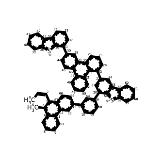 C/C=C\c1c(C)c2ccccc2c2cc(-c3cccc(-c4cc(-c5cccc6c7cc(-c8cccc9c8sc8ccccc89)ccc7c7ccccc7c56)cc5c4sc4ccccc45)c3)ccc12